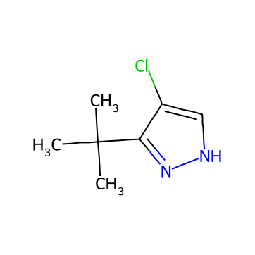 CC(C)(C)c1n[nH]cc1Cl